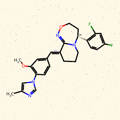 COc1cc(/C=C2\CCCN3C2=NOCC[C@@H]3c2ccc(F)cc2F)ccc1-n1cnc(C)c1